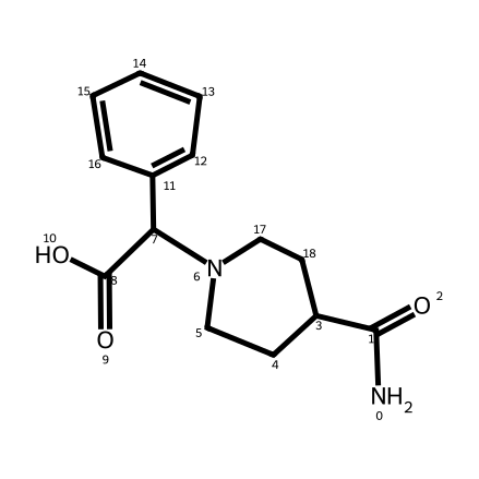 NC(=O)C1CCN(C(C(=O)O)c2ccccc2)CC1